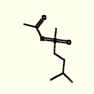 CC(=O)N=S(C)(=O)CCC(C)C